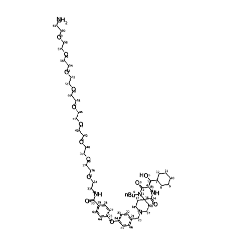 CCCCN1C(=O)[C@@H](C(O)C2CCCCC2)NC(=O)C12CCN(Cc1ccc(Oc3ccc(C(=O)NCCOCCOCCOCCOCCOCCOCCOCCOCCOCCN)cc3)cc1)CC2